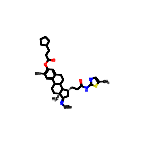 CON=C1C[C@@H](CCC(=O)Nc2ncc(C)s2)C2C3CCc4cc(OC(=O)CCC5CCCC5)c(C(C)(C)C)cc4C3CC[C@]12C